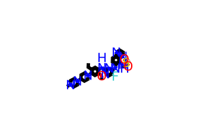 CCc1cc(Nc2ncc(F)c(Nc3ccc4nccnc4c3N(C)S(C)(=O)=O)n2)c(OC)cc1N1CCC(N2CCN(C)CC2)CC1